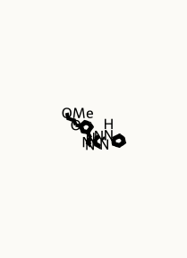 COCCOc1cccc(-n2nnc3cnc(Nc4ccccc4)nc32)c1